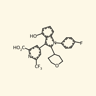 O=C(O)c1cc(-c2c(C3CCOCC3)n(-c3ccc(F)cc3)c3cccc(O)c23)cc(C(F)(F)F)n1